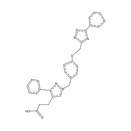 O=C(O)CCc1cn(Cc2ccc(OCc3noc(-c4ccccc4)n3)cc2)nc1-c1ccccc1